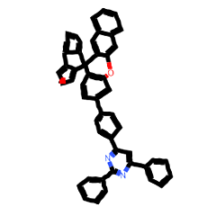 c1ccc(-c2cc(-c3ccc(-c4ccc5c(c4)Oc4cc6ccccc6cc4C54c5ccccc5-c5ccccc54)cc3)nc(-c3ccccc3)n2)cc1